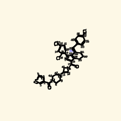 O=C(c1cscn1)N1CCN(C2CN(C(=O)c3nn(-c4ccc(Cl)cc4Cl)c4c3CCC/C4=C\c3ccc(Cl)cc3)C2)CC1